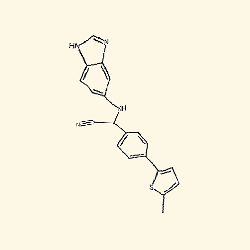 Cc1ccc(-c2ccc(C(C#N)Nc3ccc4[nH]cnc4c3)cc2)s1